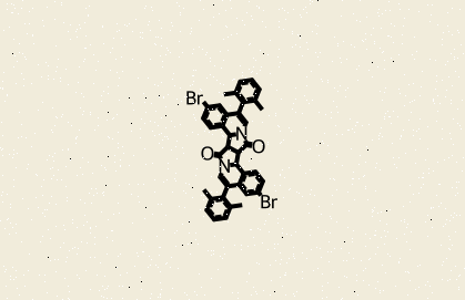 Cc1cccc(C)c1C1=CN2C(=O)C3C(C(=O)N4C=C(c5c(C)cccc5C)c5cc(Br)ccc5C34)C2c2ccc(Br)cc21